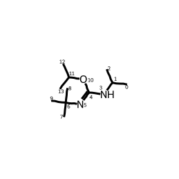 CC(C)NC(=NC(C)(C)C)OC(C)C